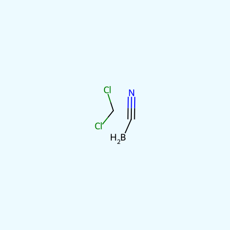 BC#N.ClCCl